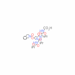 CCCC(NC(=O)[C@@H]1C[C@@H](OC(=O)N2CCc3ccccc3C2)CN1C(=O)[C@@H](NC(=O)C(=O)C(C)C)C(C)C)C(=O)C(=O)NCC(=O)O